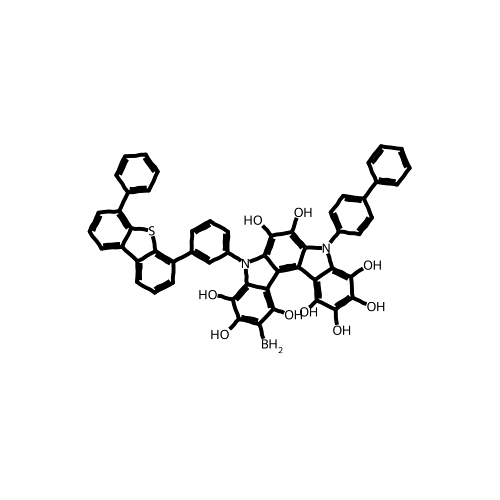 Bc1c(O)c(O)c2c(c1O)c1c3c4c(O)c(O)c(O)c(O)c4n(-c4ccc(-c5ccccc5)cc4)c3c(O)c(O)c1n2-c1cccc(-c2cccc3c2sc2c(-c4ccccc4)cccc23)c1